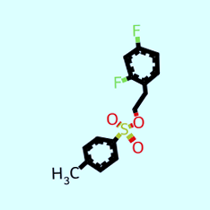 Cc1ccc(S(=O)(=O)OCCc2ccc(F)cc2F)cc1